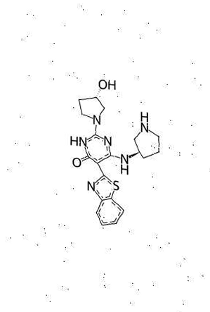 O=c1[nH]c(N2CC[C@H](O)C2)nc(N[C@@H]2CCCNC2)c1-c1nc2ccccc2s1